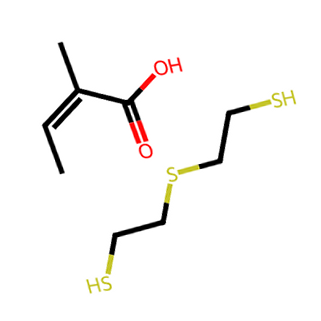 CC=C(C)C(=O)O.SCCSCCS